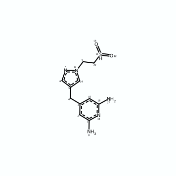 Nc1cc(Cc2cnn(CC[SH](=O)=O)c2)cc(N)n1